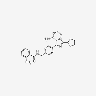 Cc1ccccc1C(=O)NCc1ccc(-c2nc(C3CCCC3)n3ccnc(N)c23)cc1